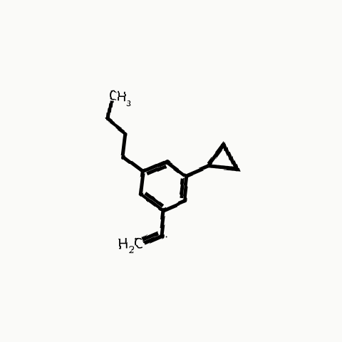 C=[C]c1cc(CCCC)cc(C2CC2)c1